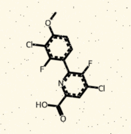 COc1ccc(-c2nc(C(=O)O)cc(Cl)c2F)c(F)c1Cl